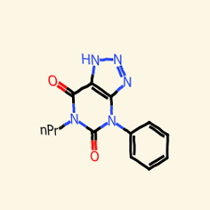 CCCn1c(=O)c2[nH]nnc2n(-c2ccccc2)c1=O